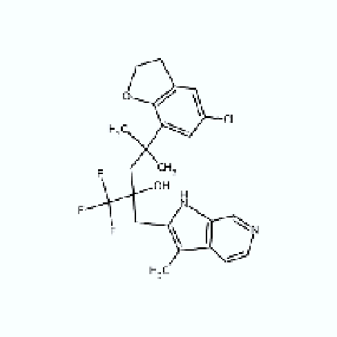 Cc1c(CC(O)(CC(C)(C)c2cc(Cl)cc3c2OCC3)C(F)(F)F)[nH]c2cnccc12